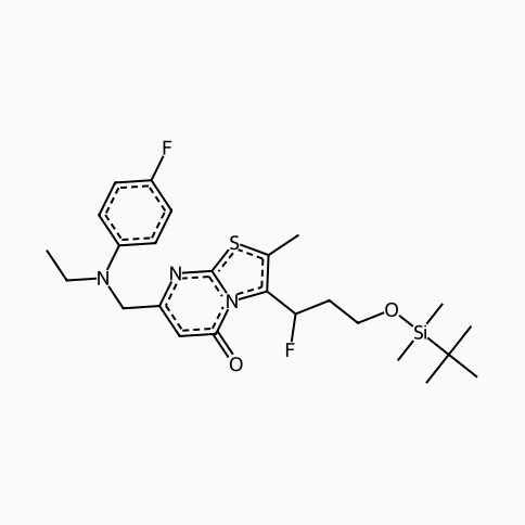 CCN(Cc1cc(=O)n2c(C(F)CCO[Si](C)(C)C(C)(C)C)c(C)sc2n1)c1ccc(F)cc1